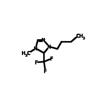 CCCCN1N=CN(C)C1C(F)(F)F